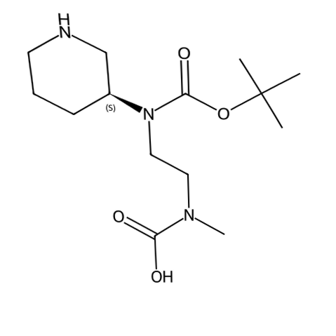 CN(CCN(C(=O)OC(C)(C)C)[C@H]1CCCNC1)C(=O)O